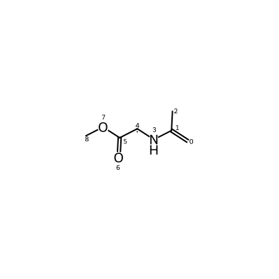 C=C(C)N[CH]C(=O)OC